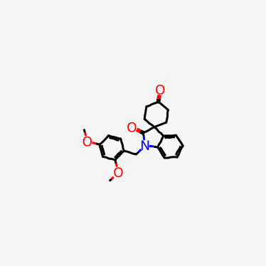 COc1ccc(CN2C(=O)C3(CCC(=O)CC3)c3ccccc32)c(OC)c1